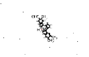 Cc1cc2c(C3=C(c4c(C)sc5cc(C=O)c(C)cc45)CCC3)c(C)sc2cc1C=O